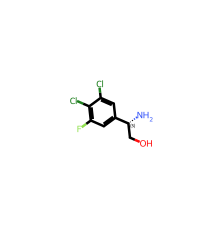 N[C@H](CO)c1cc(F)c(Cl)c(Cl)c1